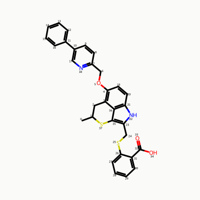 CC1Cc2c(OCc3ccc(-c4ccccc4)cn3)ccc3[nH]c(CSc4ccccc4C(=O)O)c(c23)S1